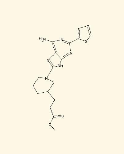 COC(=O)CCC1CCCN(c2nc3c(N)nc(-c4cccs4)nc3[nH]2)C1